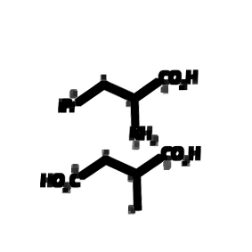 CC(C)CC(N)C(=O)O.CC(CC(=O)O)C(=O)O